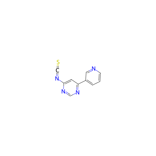 S=C=Nc1cc(-c2cccnc2)ncn1